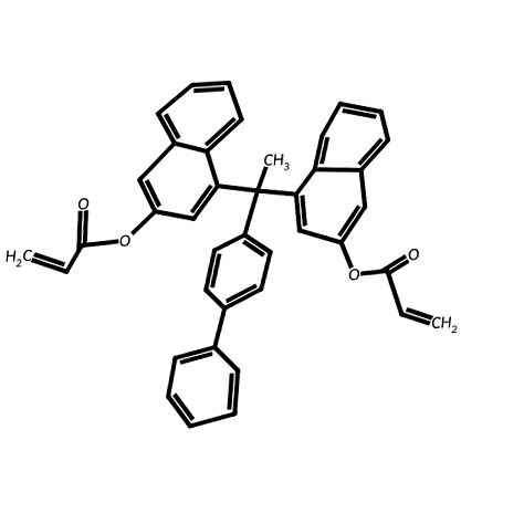 C=CC(=O)Oc1cc(C(C)(c2ccc(-c3ccccc3)cc2)c2cc(OC(=O)C=C)cc3ccccc23)c2ccccc2c1